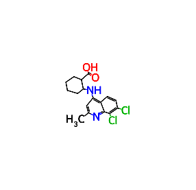 Cc1cc(NC2CCCCC2C(=O)O)c2ccc(Cl)c(Cl)c2n1